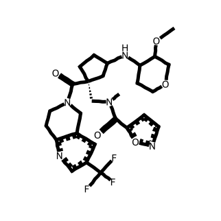 COC1COCCC1NC1CC[C@](CN(C)C(=O)c2ccno2)(C(=O)N2CCc3ncc(C(F)(F)F)cc3C2)C1